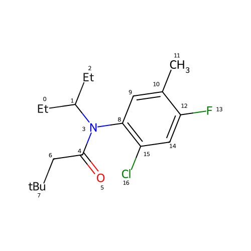 CCC(CC)N(C(=O)CC(C)(C)C)c1cc(C)c(F)cc1Cl